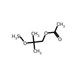 CC(=O)OCC(C)(C)O[SiH3]